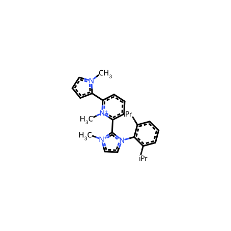 CC(C)c1cccc(C(C)C)c1-n1cc[n+](C)c1-c1cccc(-c2cccn2C)[n+]1C